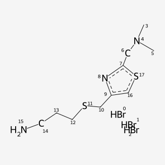 Br.Br.Br.CN(C)Cc1nc(CSCCCN)cs1